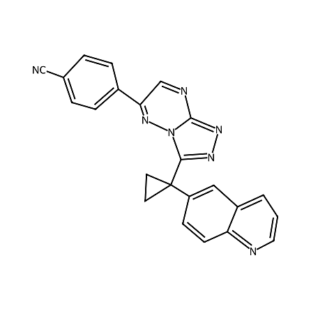 N#Cc1ccc(-c2cnc3nnc(C4(c5ccc6ncccc6c5)CC4)n3n2)cc1